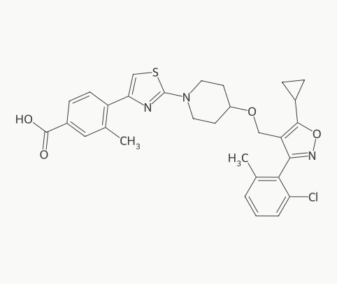 Cc1cc(C(=O)O)ccc1-c1csc(N2CCC(OCc3c(-c4c(C)cccc4Cl)noc3C3CC3)CC2)n1